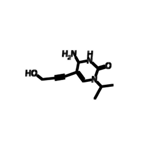 CC(C)N1C=C(C#CCO)C(N)NC1=O